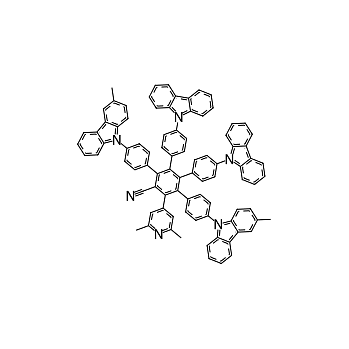 Cc1ccc2c(c1)c1ccccc1n2-c1ccc(-c2c(C#N)c(-c3cc(C)nc(C)c3)c(-c3ccc(-n4c5ccccc5c5cc(C)ccc54)cc3)c(-c3ccc(-n4c5ccccc5c5ccccc54)cc3)c2-c2ccc(-n3c4ccccc4c4ccccc43)cc2)cc1